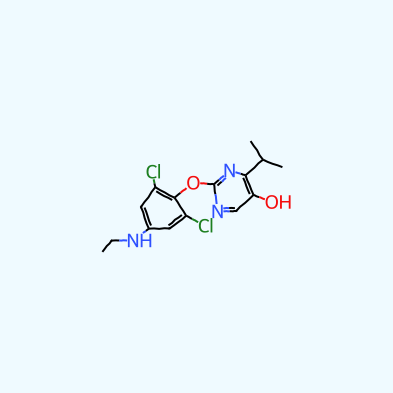 CCNc1cc(Cl)c(Oc2ncc(O)c(C(C)C)n2)c(Cl)c1